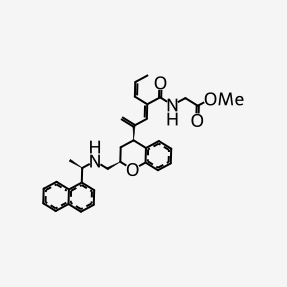 C=C(/C=C(\C=C/C)C(=O)NCC(=O)OC)[C@@H]1C[C@H](CN[C@H](C)c2cccc3ccccc23)Oc2ccccc21